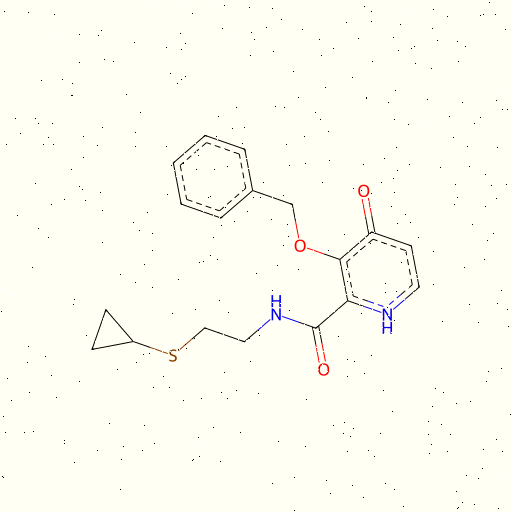 O=C(NCCSC1CC1)c1[nH]ccc(=O)c1OCc1ccccc1